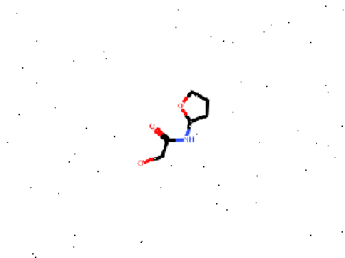 [O]CC(=O)NC1CCCO1